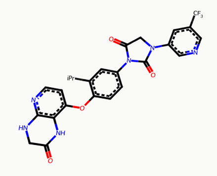 CC(C)c1cc(N2C(=O)CN(c3cncc(C(F)(F)F)c3)C2=O)ccc1Oc1ccnc2c1NC(=O)CN2